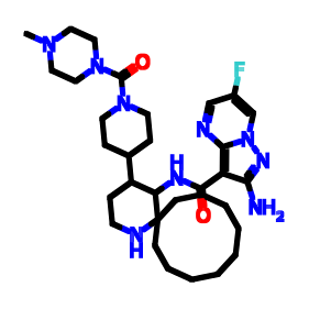 CN1CCN(C(=O)N2CCC(C3CCNC4(CCCCCCCCC4)C3NC(=O)c3c(N)nn4cc(F)cnc34)CC2)CC1